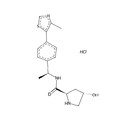 Cc1ncsc1-c1ccc([C@H](C)NC(=O)[C@H]2C[C@H](O)CN2)cc1.Cl